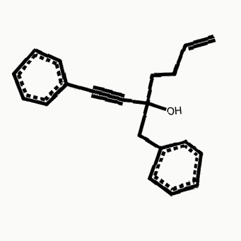 C=CCCC(O)(C#Cc1ccccc1)Cc1ccccc1